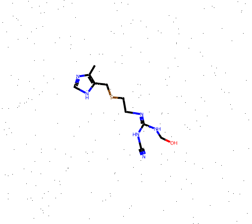 Cc1nc[nH]c1CSCC/N=C(\NC#N)NCO